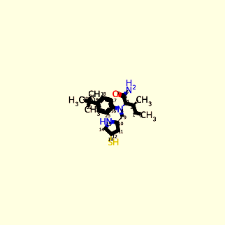 CC[C@H](C)[C@@H](C(N)=O)N(C[C@@H]1C[C@H](S)CN1)c1ccc(C(C)(C)C)cc1